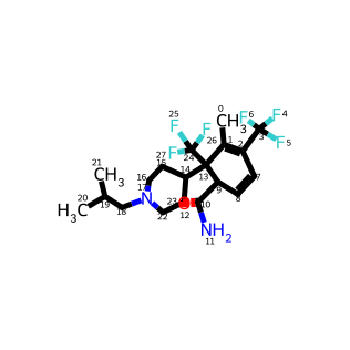 CC1=C(C(F)(F)F)C=CC(C(N)=O)C1(C1CCN(CC(C)C)CC1)C(F)(F)F